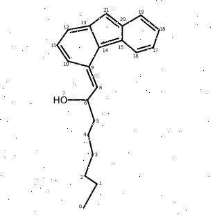 CCCCCCC(O)/C=c1\cccc2c1=c1ccccc1=C2